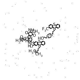 CN(C)CCCN1c2ccccc2Sc2ccc(Cl)cc21.CO[C@@]12[C@H](COC(N)=O)C3=C(C(=O)C(C)=C(N)C3=O)N1C[C@@H]1N[C@@H]12.OCCN1CCN(CCCN2c3ccccc3Sc3ccc(C(F)(F)F)cc32)CC1